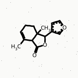 CC1=CCCC2(C)C1C(=O)OC2c1ccoc1